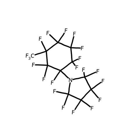 FC(F)(F)C1(F)C(F)(F)C(F)(F)C(F)(F)C(F)(N2C(F)(F)C(F)(F)C(F)(F)C2(F)F)C1(F)F